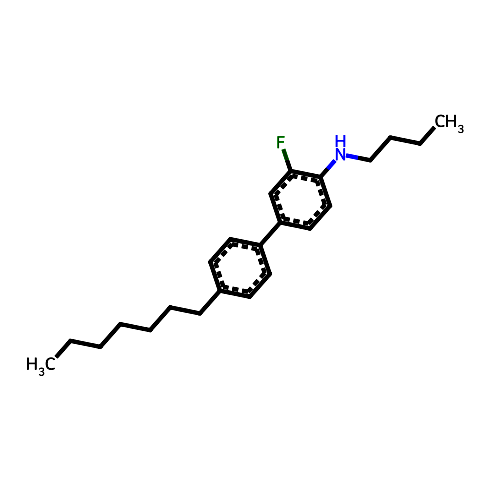 CCCCCCCc1ccc(-c2ccc(NCCCC)c(F)c2)cc1